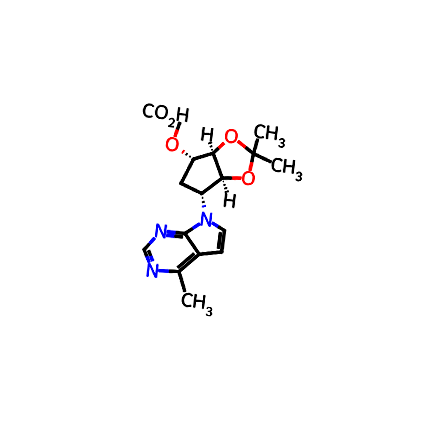 Cc1ncnc2c1ccn2[C@@H]1C[C@H](OC(=O)O)[C@H]2OC(C)(C)O[C@H]21